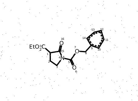 CCOC(=O)C1CCN(C(=O)OCc2ccccc2)C1=O